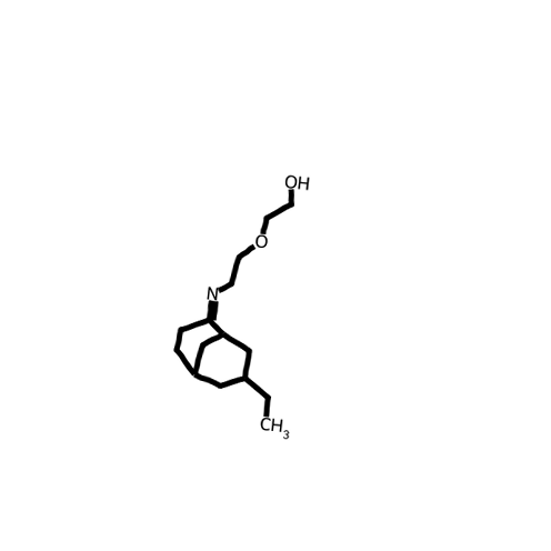 CCC1CC2CC/C(=N/CCOCCO)C(C1)C2